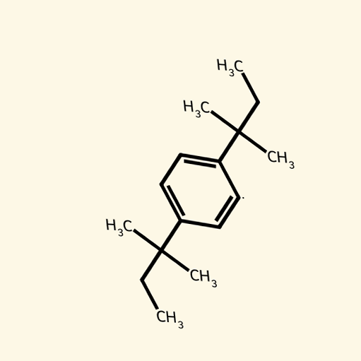 CCC(C)(C)c1[c]cc(C(C)(C)CC)cc1